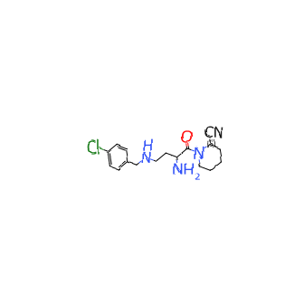 N#C[C@@H]1CCCCN1C(=O)C(N)CCNCc1ccc(Cl)cc1